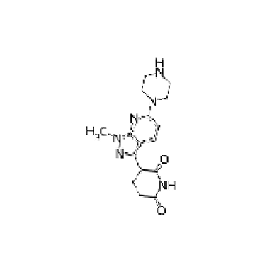 Cn1nc(C2CCC(=O)NC2=O)c2ccc(N3CCNCC3)nc21